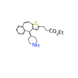 CCOC(=O)CCc1cc2c(s1)C=Cc1ccccc1C2=C1CCNCC1